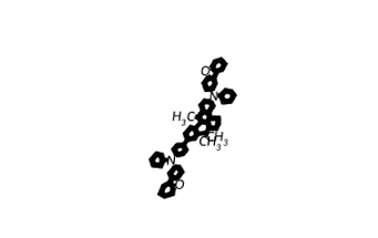 Cc1c2c3c(cccc3c3cc(N(c4ccccc4)c4ccc5oc6ccccc6c5c4)ccc13)C(C)(C)c1cc(-c3ccc(N(c4ccccc4)c4ccc5oc6ccccc6c5c4)cc3)ccc1-2